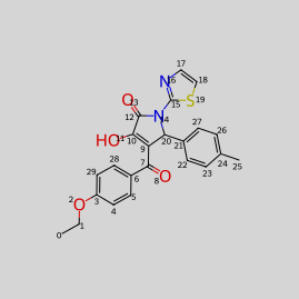 CCOc1ccc(C(=O)C2=C(O)C(=O)N(c3nccs3)C2c2ccc(C)cc2)cc1